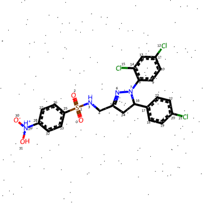 O=S(=O)(NCC1=NN(c2ccc(Cl)cc2Cl)C(c2ccc(Cl)cc2)C1)c1ccc([NH+]([O-])O)cc1